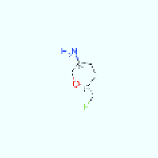 N[C@H]1CC[C@H](CF)OC1